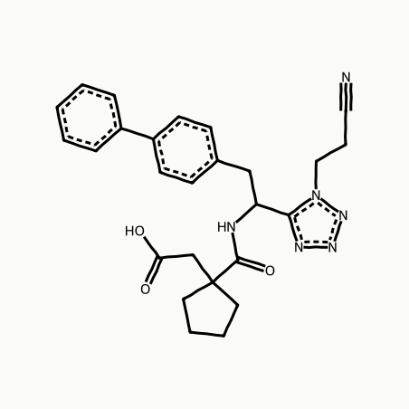 N#CCCn1nnnc1C(Cc1ccc(-c2ccccc2)cc1)NC(=O)C1(CC(=O)O)CCCC1